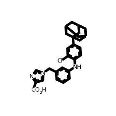 O=C(O)c1cn(Cc2cccc(Nc3ccc(C45CC6CC(CC(C6)C4)C5)cc3Cl)c2)cn1